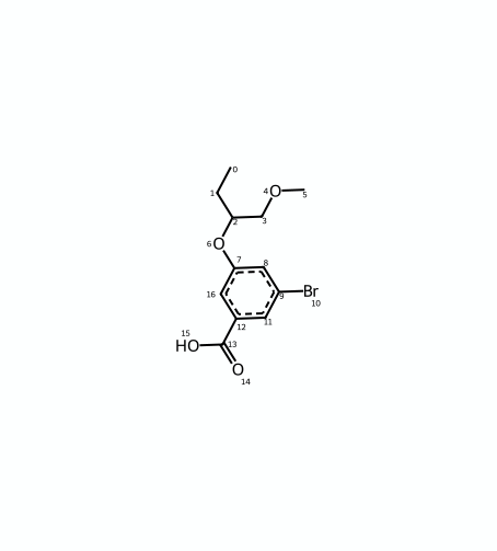 CCC(COC)Oc1cc(Br)cc(C(=O)O)c1